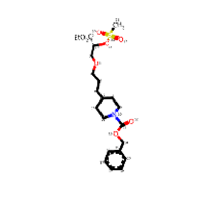 CCOC(=O)[C@@H](COCCCC1CCN(C(=O)OCc2ccccc2)CC1)OS(C)(=O)=O